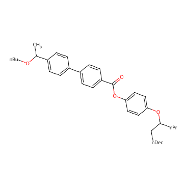 CCCCCCCCCCCC(CCC)Oc1ccc(OC(=O)c2ccc(-c3ccc(C(C)OCCCC)cc3)cc2)cc1